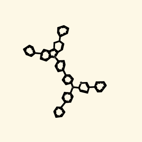 C1=CC(N(c2ccc(-c3ccccc3)cc2)c2ccc(-c3ccc(-n4c5c(c6cc(-c7ccccc7)ccc64)CC(c4ccccc4)C=C5)cc3)cc2)SC=C1c1ccccc1